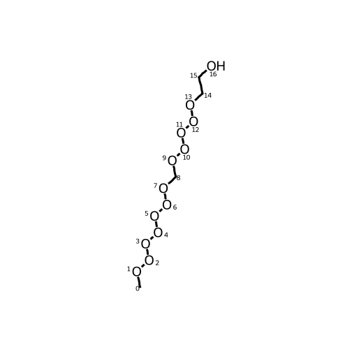 COOOOOOOCOOOOOCCO